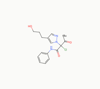 CC(C)(C)C(=O)C(Cl)(C(=O)Nc1ccccc1)n1cc(CCCO)cn1